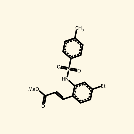 CCc1ccc(/C=C/C(=O)OC)c(NS(=O)(=O)c2ccc(C)cc2)c1